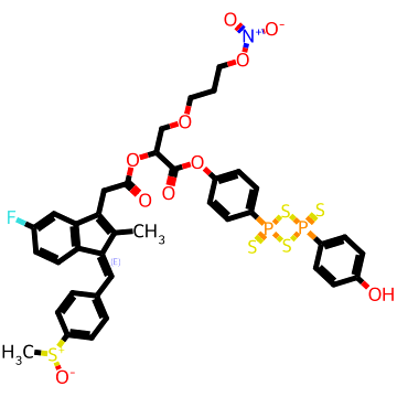 CC1=C(CC(=O)OC(COCCCO[N+](=O)[O-])C(=O)Oc2ccc(P3(=S)SP(=S)(c4ccc(O)cc4)S3)cc2)c2cc(F)ccc2/C1=C\c1ccc([S+](C)[O-])cc1